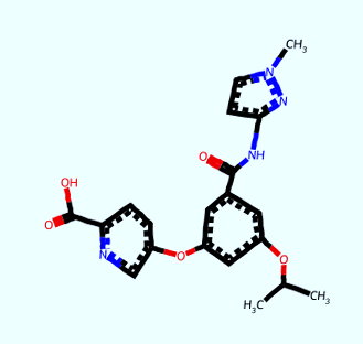 CC(C)Oc1cc(Oc2ccc(C(=O)O)nc2)cc(C(=O)Nc2ccn(C)n2)c1